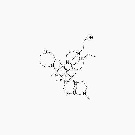 CCN1CCN([C@](C)(C(C)(C)N2CCN(C)CC2)[C@@](C)(N2CCOCC2)[C@@](C)(N2CCCOCC2)C(C)(C)N2CCN(CCO)CC2)CC1